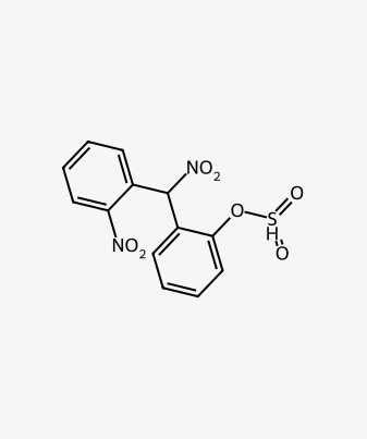 O=[N+]([O-])c1ccccc1C(c1ccccc1O[SH](=O)=O)[N+](=O)[O-]